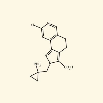 NC1(Cn2nc3c(c2C(=O)O)CCc2cnc(Cl)cc2-3)CC1